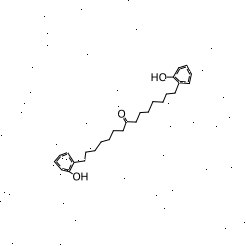 O=C(CCCCCCCc1ccccc1O)CCCCCCCc1ccccc1O